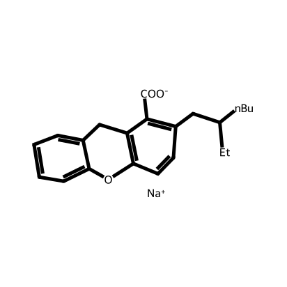 CCCCC(CC)Cc1ccc2c(c1C(=O)[O-])Cc1ccccc1O2.[Na+]